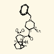 CC[C@@H]1CN(Cc2ccccc2)CC[C@@H]1C(=O)N1[C@@H]2CC3CC[C@]2(CS1(=O)=O)C3(C)C